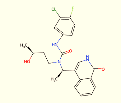 C[C@H](O)CCN(C(=O)Nc1ccc(F)c(Cl)c1)[C@H](C)c1c[nH]c(=O)c2ccccc12